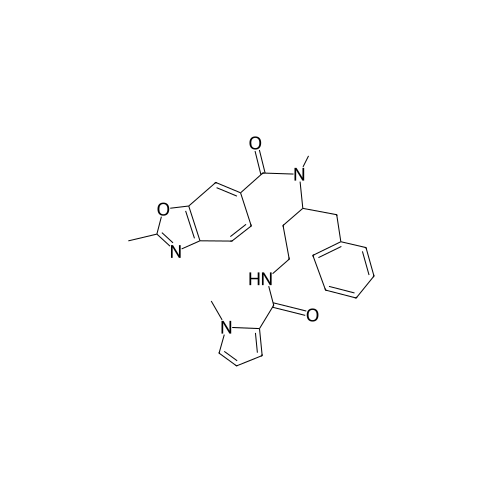 Cc1nc2ccc(C(=O)N(C)C(CCNC(=O)c3cccn3C)Cc3ccccc3)cc2o1